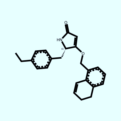 CCc1ccc(C[C@@H]2NC(=O)C=C2OCc2cccc3c2C=CCC3)cc1